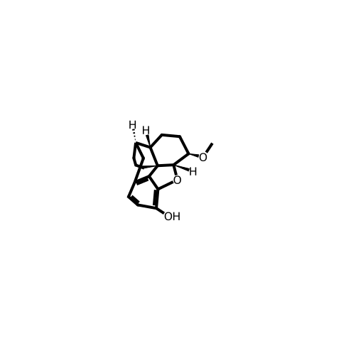 CO[C@@H]1CC[C@H]2[C@@H]3CCC[C@@]24c2c(ccc(O)c2O[C@@H]14)C3